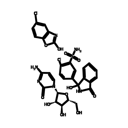 NS(=O)(=O)c1cc(C2(O)NC(=O)c3ccccc32)ccc1Cl.Nc1ccn([C@@H]2O[C@H](CO)[C@@H](O)[C@@H]2O)c(=O)n1.Oc1nc2cc(Cl)ccc2o1